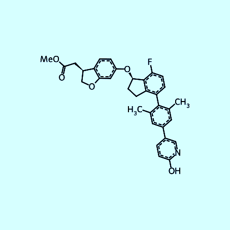 COC(=O)C[C@@H]1COc2cc(O[C@@H]3CCc4c(-c5c(C)cc(-c6ccc(O)nc6)cc5C)ccc(F)c43)ccc21